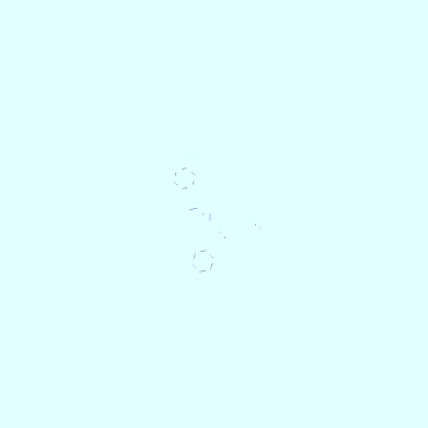 O=C(Cc1cc(C(F)(F)F)cc(C(F)(F)F)c1)NCC(c1ccc(F)cc1F)N1CCC(N2CCCCC2)CC1